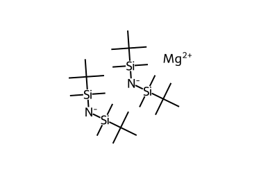 CC(C)(C)[Si](C)(C)[N-][Si](C)(C)C(C)(C)C.CC(C)(C)[Si](C)(C)[N-][Si](C)(C)C(C)(C)C.[Mg+2]